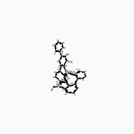 In1c2cccc3c4ccccc4n4c5ccc(-c6ccccc6)cc5c5ccc1c(c32)c54